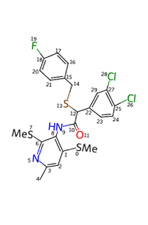 CSc1cc(C)nc(SC)c1NC(=O)C(SCc1ccc(F)cc1)c1ccc(Cl)c(Cl)c1